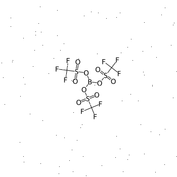 O=S(=O)(OB(OS(=O)(=O)C(F)(F)F)OS(=O)(=O)C(F)(F)F)C(F)(F)F